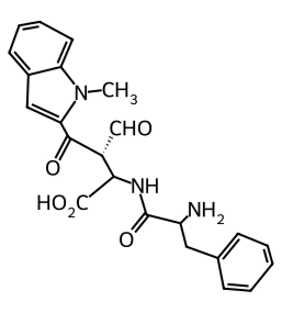 Cn1c(C(=O)[C@H](C=O)C(NC(=O)C(N)Cc2ccccc2)C(=O)O)cc2ccccc21